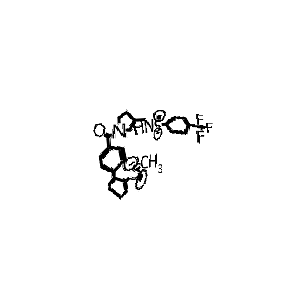 CS(=O)(=O)c1ccccc1-c1ccc(C(=O)N2CCC(CNS(=O)(=O)c3ccc(C(F)(F)F)cc3)C2)cc1